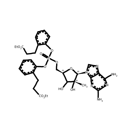 CCOC(=O)CCc1ccccc1OP(=O)(OC[C@H]1O[C@@H](n2cnc3c(N)nc(N)nc32)[C@](C)(O)C1O)Oc1ccccc1CCC(=O)OCC